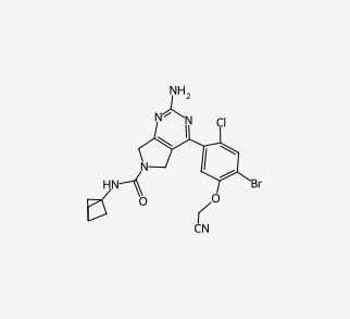 N#CCOc1cc(-c2nc(N)nc3c2CN(C(=O)NC24CC(C2)C4)C3)c(Cl)cc1Br